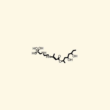 CCC(O)CC(O)CC(C)OC(=O)/C=C(\C)NCCNC[Si](O)(O)O